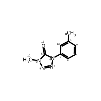 Cc1cccc(-n2nnn(C)c2=O)c1